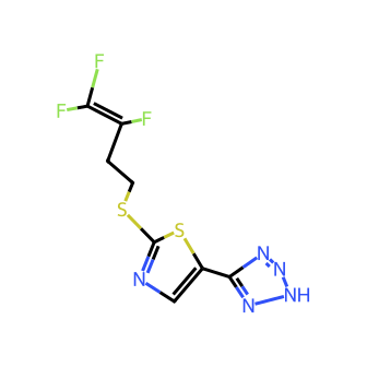 FC(F)=C(F)CCSc1ncc(-c2nn[nH]n2)s1